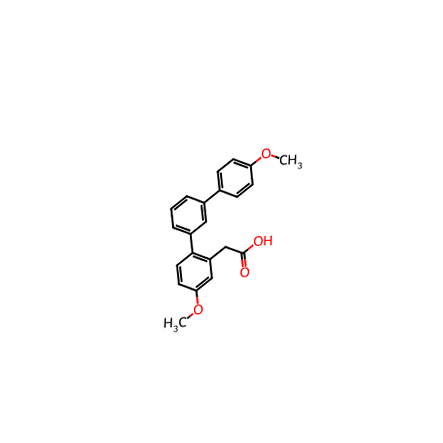 COc1ccc(-c2cccc(-c3ccc(OC)cc3CC(=O)O)c2)cc1